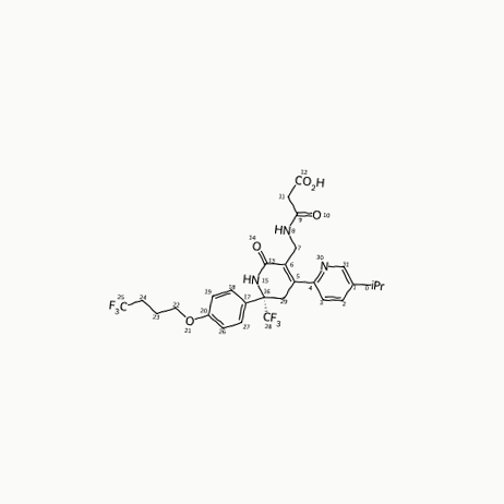 CC(C)c1ccc(C2=C(CNC(=O)CC(=O)O)C(=O)N[C@@](c3ccc(OCCCC(F)(F)F)cc3)(C(F)(F)F)C2)nc1